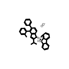 Cc1ccccc1-c1c(-c2ccccc2)ccc2c1C=C(C(C)C)[CH]2[Zr+2]1[c]2cccc3c2[SiH]1c1ccccc1-3.[Cl-].[Cl-]